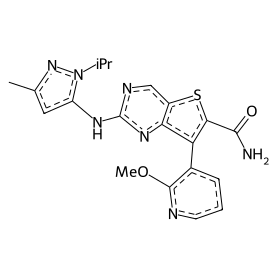 COc1ncccc1-c1c(C(N)=O)sc2cnc(Nc3cc(C)nn3C(C)C)nc12